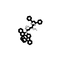 C=N/C(=C\C=C(/C)c1nc(-c2ccccc2)cc(-c2ccccc2)n1)n1c2ccc3c(c2c2ccc4ccccc4c21)C1(c2ccccc2-3)C2CC3CC(C2)CC1C3